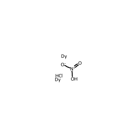 Cl.O=[N+]([O-])O.[Dy].[Dy]